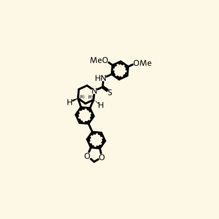 COc1ccc(NC(=S)N2CC[C@@H]3C[C@@H]2c2cc(-c4ccc5c(c4)OCO5)ccc23)c(OC)c1